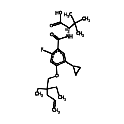 C=CCC(CC)(CC)COc1cc(F)c(C(=O)N[C@H](C(=O)O)C(C)(C)C)cc1C1CC1